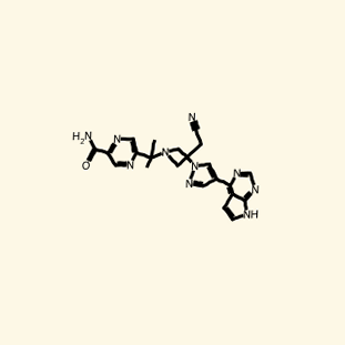 CC(C)(c1cnc(C(N)=O)cn1)N1CC(CC#N)(n2cc(-c3ncnc4[nH]ccc34)cn2)C1